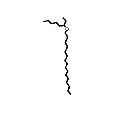 CCCCCCCCCCCCCCCCOC(CC)CCCCC